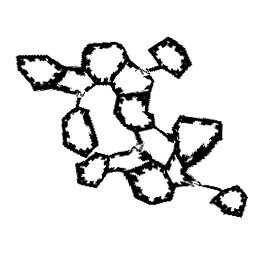 N#Cc1cc2c(cc1-n1c3ccccc3c3ccc4c(c5ccccc5n4-c4ccccc4)c31)c1c(ccc3c4ccccc4n(-c4ccccc4)c31)n2-c1ccccc1